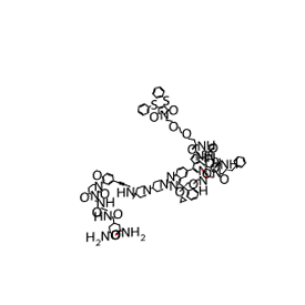 COc1ccc(C#CCNC2(C)CCN(C3CCN(c4nc([C@@](COCNC(=O)CNC(=O)[C@H](Cc5ccccc5)NC(=O)CNC(=O)CNC(=O)CCOCCOCCN5C(=O)C(Sc6ccccc6)=C(Sc6ccccc6)C5=O)(OC5CC5)c5ccccc5)c5cc(-c6cn(C)c(=O)c7[nH]ccc67)ccc5n4)CC3)CC2)cc1N1CCC(=O)N(CNC(=O)CNC(=O)C(CC(N)=O)CC(N)=O)C1=O